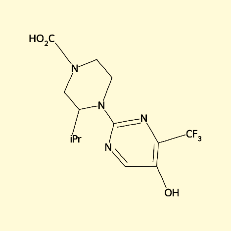 CC(C)C1CN(C(=O)O)CCN1c1ncc(O)c(C(F)(F)F)n1